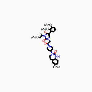 COC[C@@H](C)n1c(=O)c(-c2cccc(OC)c2OC)cn(CC(=O)N2CCC(N3CCc4cc(OC)ccc4NC3=O)CC2)c1=O